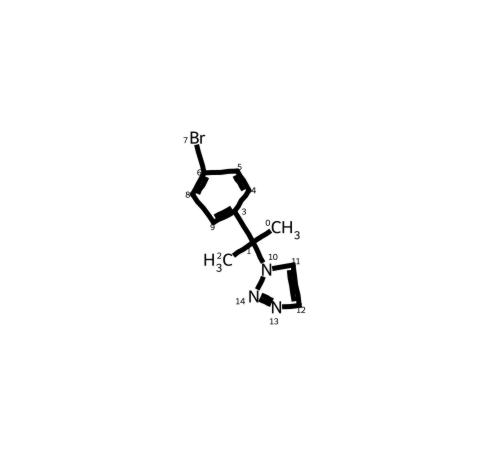 CC(C)(c1ccc(Br)cc1)n1ccnn1